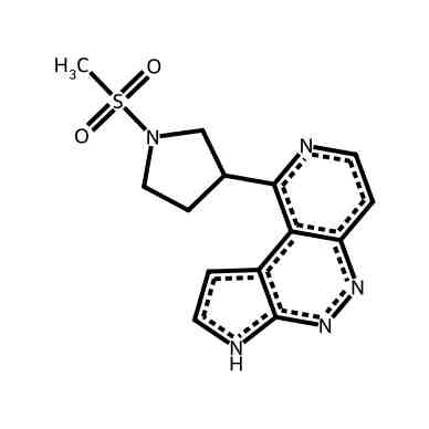 CS(=O)(=O)N1CCC(c2nccc3nnc4[nH]ccc4c23)C1